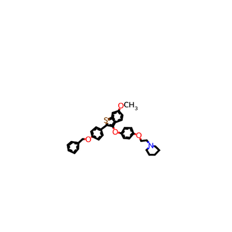 COc1ccc2c(Oc3ccc(OCCN4CCCCC4)cc3)c(-c3ccc(OCc4ccccc4)cc3)sc2c1